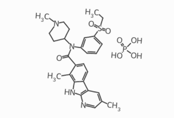 CCS(=O)(=O)c1cccc(N(C(=O)c2ccc3c([nH]c4ncc(C)cc43)c2C)C2CCN(C)CC2)c1.O=P(O)(O)O